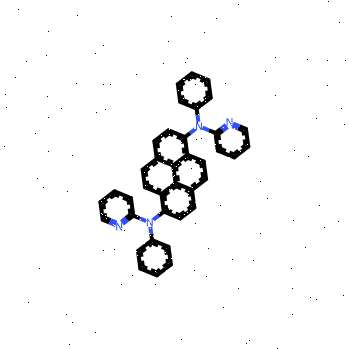 c1ccc(N(c2ccccn2)c2ccc3ccc4c(N(c5ccccc5)c5ccccn5)ccc5ccc2c3c54)cc1